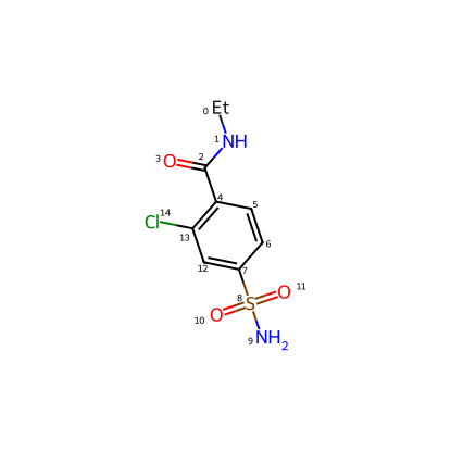 CCNC(=O)c1ccc(S(N)(=O)=O)cc1Cl